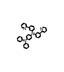 c1ccc(N(c2ccccc2)c2ccc(N(c3cccc(-c4ccccn4)c3)c3cccc(-c4ccccn4)c3)cc2)cc1